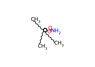 CCCCCCCCc1ccc(OC(N)=O)c(CCCCCCCC)c1CCCCCCCC